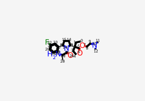 CCC(CC)(C(=O)OCCN(C)C)[C@H]1CC[C@@H](c2cccc(F)c2)N1C(=O)[C@@H](C)N